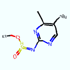 CCCCc1cnc(N=[SH](=O)OCC)nc1C